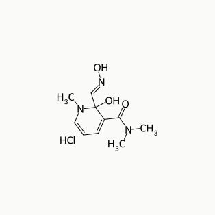 CN(C)C(=O)C1=CC=CN(C)C1(O)C=NO.Cl